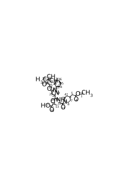 CCOC(=O)CC1CCN(C(=O)[C@H](CCC(=O)O)NC(=O)c2cc(OCC(=O)C(C)(C)C)n(-c3ccccc3)n2)CC1